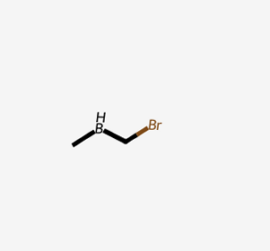 CBCBr